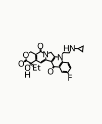 CC[C@@]1(O)C(=O)OCc2c1cc1n(c2=O)Cc2c-1c(=O)c1cc(F)ccc1n2CCNC1CC1